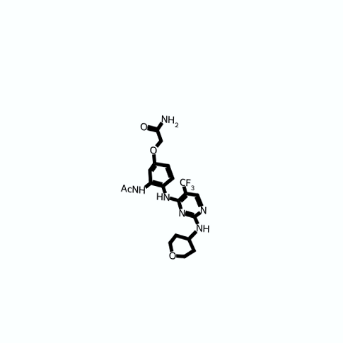 CC(=O)Nc1cc(OCC(N)=O)ccc1Nc1nc(NC2CCOCC2)ncc1C(F)(F)F